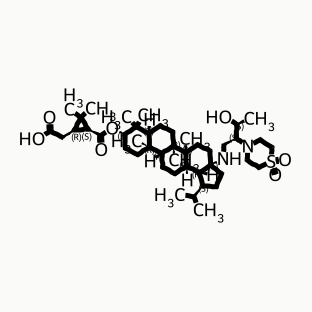 CC(C)[C@@H]1CC[C@]2(NC[C@@H]([C@H](C)O)N3CCS(=O)(=O)CC3)CC[C@]3(C)[C@H](CC[C@@H]4[C@@]5(C)CC[C@H](OC(=O)[C@H]6[C@@H](CC(=O)O)C6(C)C)C(C)(C)[C@@H]5CC[C@]43C)[C@@H]12